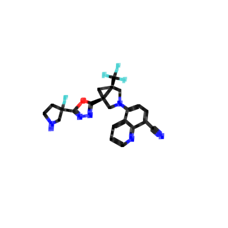 N#Cc1ccc(N2C[C@]3(c4nnc(C5(F)CCNC5)o4)C[C@]3(C(F)(F)F)C2)c2cccnc12